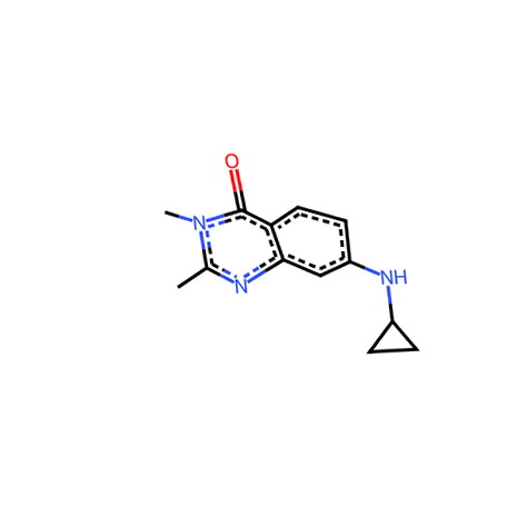 Cc1nc2cc(NC3CC3)ccc2c(=O)n1C